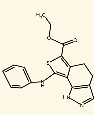 CCOC(=O)c1sc(Nc2ccccc2)c2c1CCc1cn[nH]c1-2